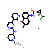 Cc1ccc2c(NC(=O)[C@@H]3C[C@H]3C(F)F)cccc2c1Oc1ncccc1-c1ccnc(NC2CCCN(C(=O)O)C2)n1